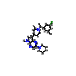 C=C(/C=C\N(C(=C)C)C(C)c1cc(C)cc(F)c1)c1cn(C)c2ncc(N3CCCCC3)nc12